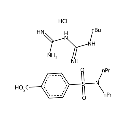 CCCCNC(=N)NC(=N)N.CCCN(CCC)S(=O)(=O)c1ccc(C(=O)O)cc1.Cl